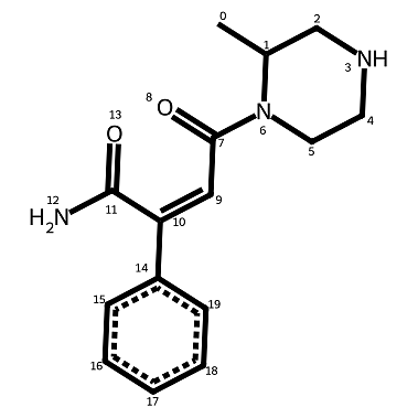 CC1CNCCN1C(=O)C=C(C(N)=O)c1ccccc1